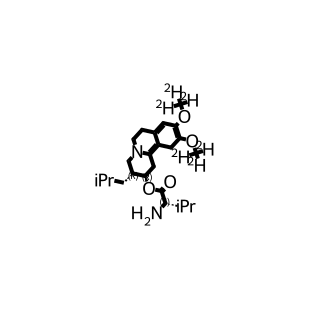 [2H]C([2H])([2H])OC1=C(OC([2H])([2H])[2H])CC2=C3C[C@@H](OC(=O)[C@@H](N)C(C)C)[C@H](CC(C)C)CN3CCC2=C1